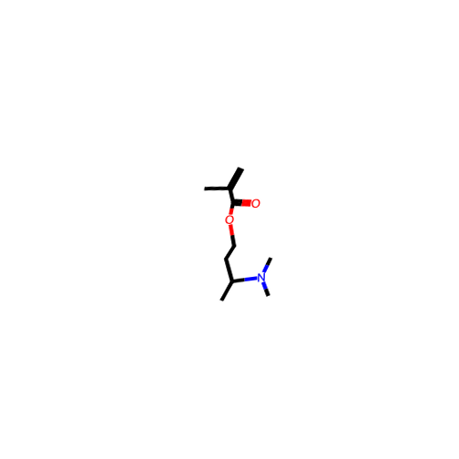 C=C(C)C(=O)OCCC(C)N(C)C